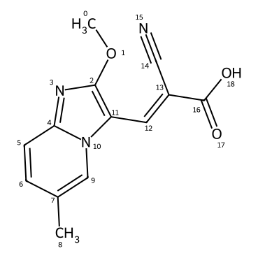 COc1nc2ccc(C)cn2c1C=C(C#N)C(=O)O